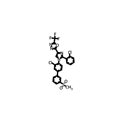 CS(=O)(=O)c1cccc(-c2ccc(-n3cc(-c4nnc(C(F)(F)F)o4)nc3-c3ccccc3Cl)c(Cl)c2)c1